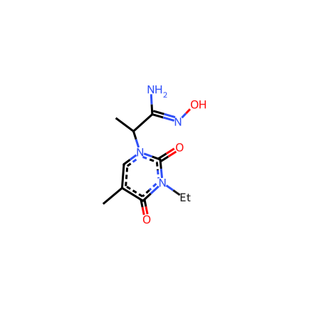 CCn1c(=O)c(C)cn(C(C)C(N)=NO)c1=O